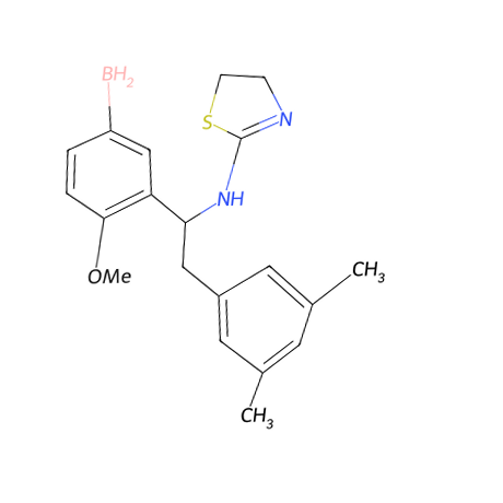 Bc1ccc(OC)c(C(Cc2cc(C)cc(C)c2)NC2=NCCS2)c1